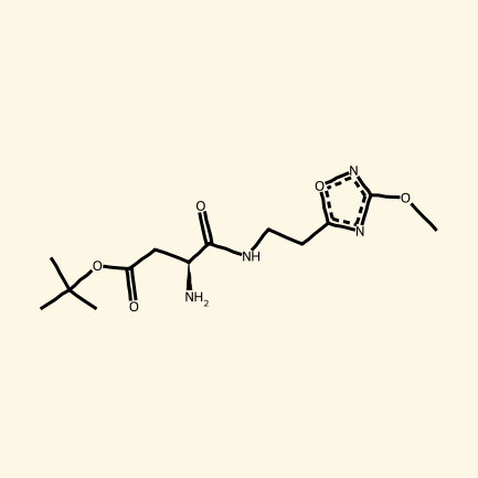 COc1noc(CCNC(=O)[C@@H](N)CC(=O)OC(C)(C)C)n1